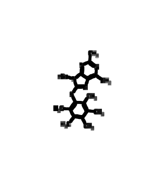 CCCCn1c(Sc2c(C)c(C)c(C)c(C)c2C)nc2c(N)nc(C)nc21